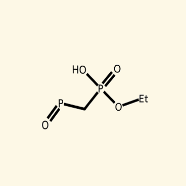 CCOP(=O)(O)CP=O